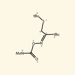 CNC(=O)ON=C(CSC(C)(C)C)C(C)(C)C